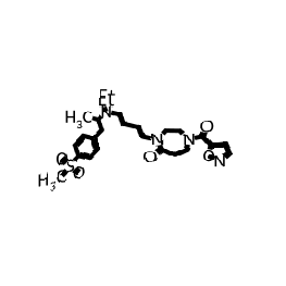 CCN(CCCCN1CCN(C(=O)c2ccno2)CCC1=O)C(C)Cc1ccc(S(C)(=O)=O)cc1